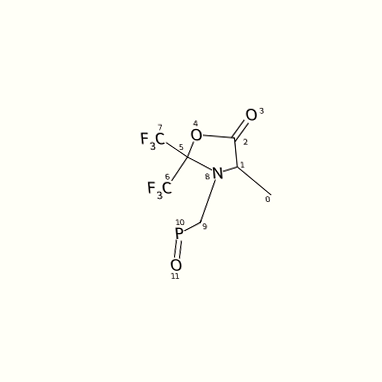 CC1C(=O)OC(C(F)(F)F)(C(F)(F)F)N1CP=O